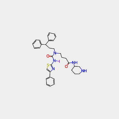 O=C(CCCN(CCC(c1ccccc1)c1ccccc1)C(=O)N(I)c1nc(-c2ccccc2)cs1)NC1CCCNC1